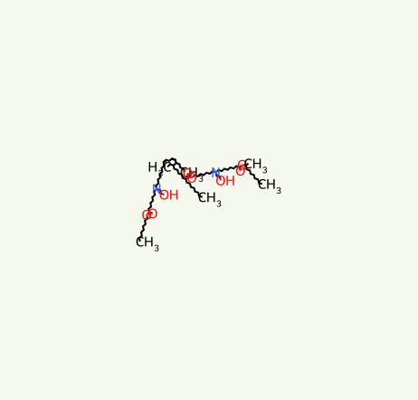 CCCCCCCCCOC(=O)CCCCCCCN(CCO)CCCCCCCC/C=C\C/C=C\C(CCCC)C(CC)CCCCCC(CCCCCCCC)C(=O)OCCCCCCCN(CCO)CCCCCCCC(=O)OC(C)CCCCCCCC